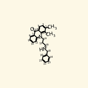 Cc1ccc2c(=O)c3ccccc3n(CCCNCc3ccccc3)c2c1C